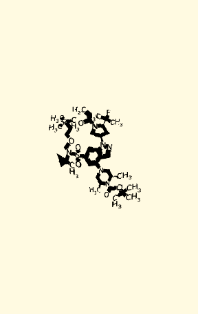 C=CC(=O)N1C[C@H](n2ncc3c(N4C[C@H](C)N(C(=O)OC(C)(C)C)[C@@H](C)C4)cc(S(=O)(=O)N(COCC[Si](C)(C)C)C4(C)CC4)cc32)C[C@H]1C(C)(C)F